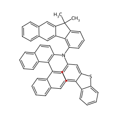 CC1(C)c2cc3ccccc3cc2-c2c(N(c3ccc4c(c3)sc3ccccc34)c3ccc4ccccc4c3-c3cccc4ccccc34)cccc21